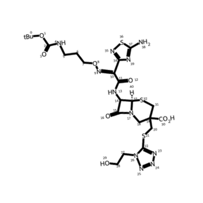 CC(C)(C)OC(=O)NCCCON=C(C(=O)NC1C(=O)N2CC(CSc3nnnn3CCO)(C(=O)O)CS[C@H]12)c1nsc(N)n1